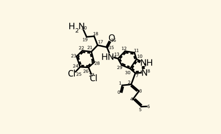 C=C/C(=C\C=C/C)c1n[nH]c2ccc(NC(=O)C(CCN)c3ccc(Cl)c(Cl)c3)cc12